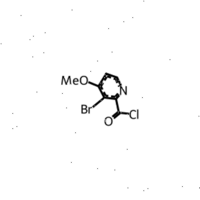 COc1ccnc(C(=O)Cl)c1Br